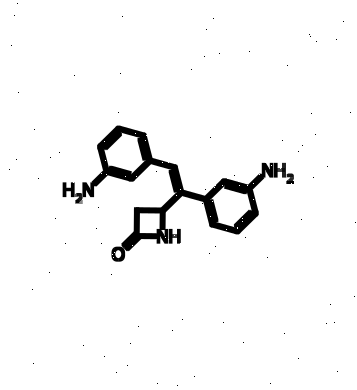 Nc1cccc(C=C(c2cccc(N)c2)C2CC(=O)N2)c1